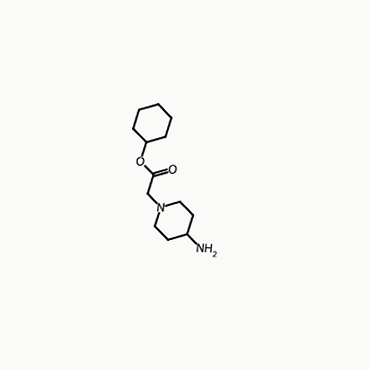 NC1CCN(CC(=O)OC2CCCCC2)CC1